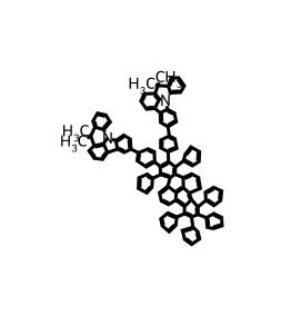 CC1(C)c2ccccc2-n2c3ccc(-c4ccc(-c5c(-c6ccc(-c7ccc8c(c7)c7cccc9c7n8-c7ccccc7C9(C)C)cc6)c(-c6ccccc6)c6c7cccc8c9c(-c%10ccccc%10)c(-c%10ccccc%10)c(-c%10ccccc%10)c(-c%10ccccc%10)c9c9cccc(c6c5-c5ccccc5)c9c87)cc4)cc3c3cccc1c32